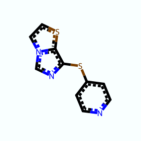 c1cc(Sc2ncn3ccsc23)ccn1